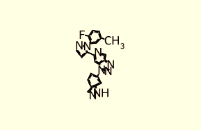 Cc1ccc(F)c(-n2nccc2-c2cc3c(cn2)nnn3-c2ccc3cn[nH]c3c2)c1